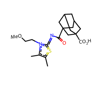 COCCn1c(C)c(C)s/c1=N\C(=O)C12CC3CC(CC(C(=O)O)(C3)C1)C2